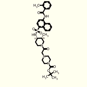 Cc1ccccc1C(=O)Nc1ccc(S(=O)(=O)N[C@H]2CCN(C(=O)CN3CCN(C(=O)OC(C)(C)C)CC3)C[C@H]2C)c2ccccc12